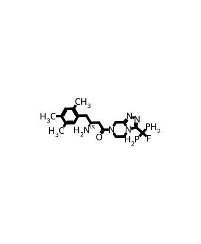 Cc1cc(C)c(C[C@H](N)CC(=O)N2CCn3c(nnc3C(F)(P)P)C2)cc1C